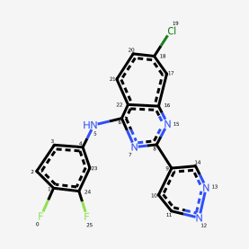 Fc1ccc(Nc2nc(-c3ccnnc3)nc3cc(Cl)ccc23)cc1F